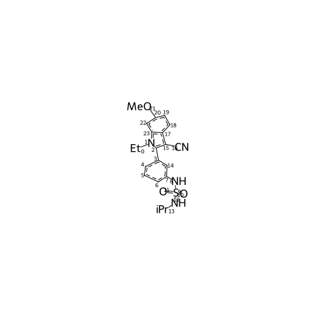 CCn1c(-c2cccc(NS(=O)(=O)NC(C)C)c2)c(C#N)c2ccc(OC)cc21